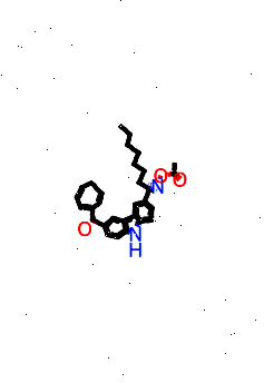 CCCCCCC/C(=N\OC(C)=O)c1ccc2[nH]c3ccc(C(=O)C4=CC=CCC=C4)cc3c2c1